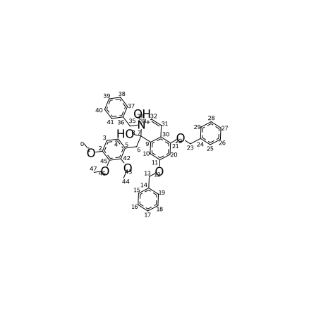 COc1ccc(CC2(O)c3cc(OCc4ccccc4)cc(OCc4ccccc4)c3C=C[N+]2(O)Cc2ccccc2)c(OC)c1OC